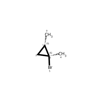 C[C@H]1C[C@]1(C)Br